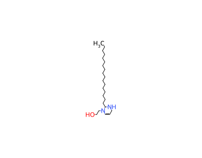 CCCCCCCCCCCCCCCCCC1NCC=CN1CCO